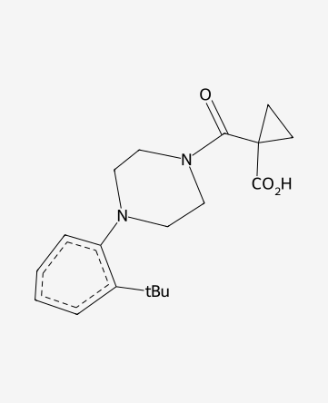 CC(C)(C)c1ccccc1N1CCN(C(=O)C2(C(=O)O)CC2)CC1